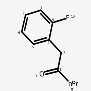 CCCC(=O)Cc1ccccc1F